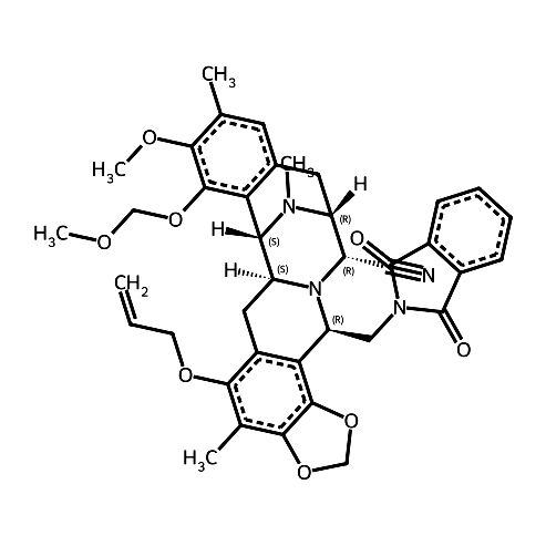 C=CCOc1c(C)c2c(c3c1C[C@H]1[C@@H]4c5c(cc(C)c(OC)c5OCOC)C[C@H]([C@H](C#N)N1[C@H]3CN1C(=O)c3ccccc3C1=O)N4C)OCO2